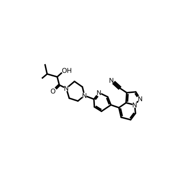 CC(C)C(O)C(=O)N1CCN(c2ccc(-c3cccn4ncc(C#N)c34)cn2)CC1